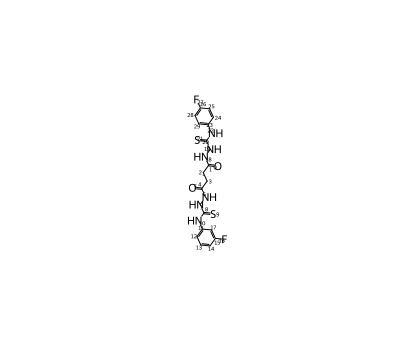 O=C([CH]CC(=O)NNC(=S)Nc1cccc(F)c1)NNC(=S)Nc1ccc(F)cc1